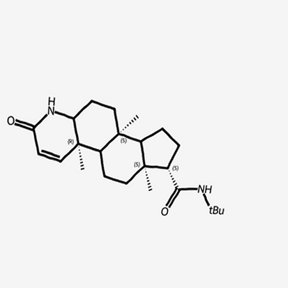 CC(C)(C)NC(=O)[C@H]1CCC2[C@]3(C)CCC4NC(=O)C=C[C@]4(C)C3CC[C@@]21C